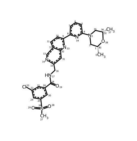 C[C@@H]1CN(c2cccc(-c3ccc4cnc(CNC(=O)c5cc(Cl)cc(S(C)(=O)=O)c5)cc4n3)n2)C[C@H](C)O1